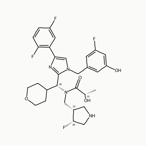 C[C@H](O)C(=O)N(C[C@@H]1CNC[C@@H]1F)[C@@H](c1nc(-c2cc(F)ccc2F)cn1Cc1cc(O)cc(F)c1)C1CCOCC1